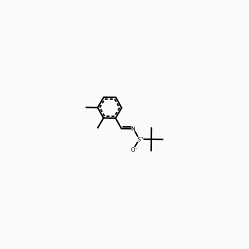 Cc1cccc(/C=N/[S+]([O-])C(C)(C)C)c1C